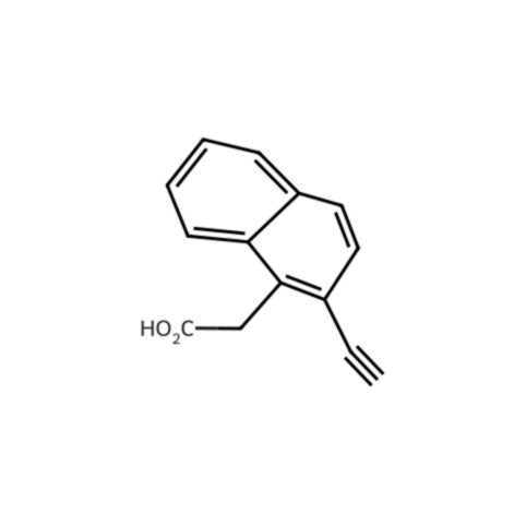 C#Cc1ccc2ccccc2c1CC(=O)O